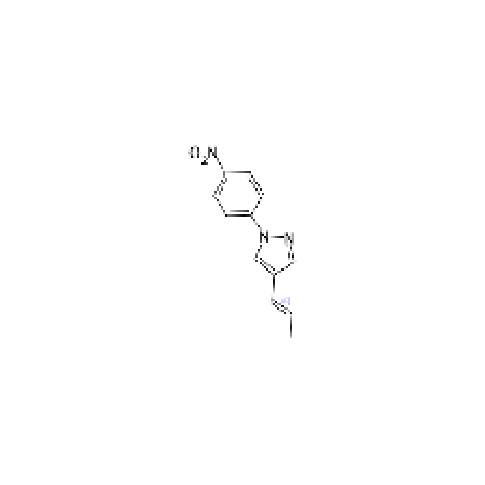 C/C=C/c1cnn(-c2ccc([N+](=O)[O-])cc2)c1